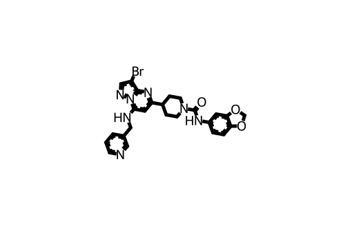 O=C(Nc1ccc2c(c1)OCO2)N1CCC(c2cc(NCc3cccnc3)n3ncc(Br)c3n2)CC1